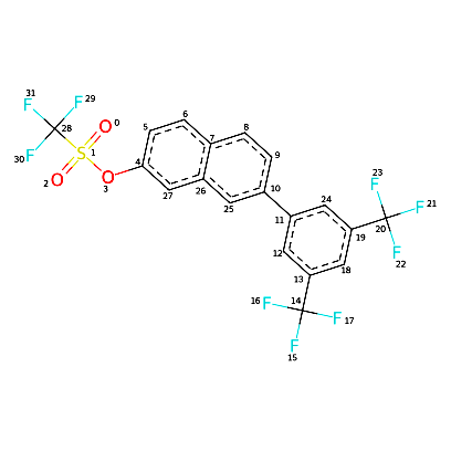 O=S(=O)(Oc1ccc2ccc(-c3cc(C(F)(F)F)cc(C(F)(F)F)c3)cc2c1)C(F)(F)F